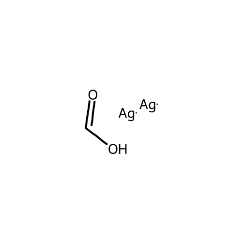 O=CO.[Ag].[Ag]